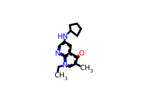 CCn1cc(C)c(=O)c2cc(NC3CCCC3)cnc21